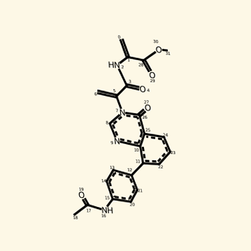 C=C(NC(=O)C(=C)n1cnc2c(-c3ccc(NC(C)=O)cc3)cccc2c1=O)C(=O)OC